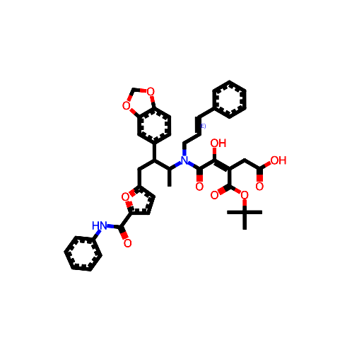 CC(C(Cc1ccc(C(=O)Nc2ccccc2)o1)c1ccc2c(c1)OCO2)N(C/C=C/c1ccccc1)C(=O)C(O)=C(CC(=O)O)C(=O)OC(C)(C)C